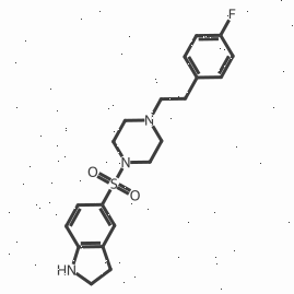 O=S(=O)(c1ccc2c(c1)CCN2)N1CCN(CCc2ccc(F)cc2)CC1